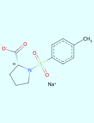 Cc1ccc(S(=O)(=O)N2CCC[C@@H]2C(=O)[O-])cc1.[Na+]